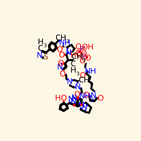 Cc1ncsc1-c1ccc([C@H](C)NC(=O)[C@@H]2C[C@@H](OP(=O)(O)OP(=O)(O)OCCNC(=O)CCCCCN3C(=O)C=CC3=O)CN2C(=O)C(c2cc(OCCN3CCN(CCOc4cc(N5C6CCC5CN(c5cc(-c7ccccc7O)nnc5N)C6)ccn4)[C@H](C)C3)no2)C(C)C)cc1